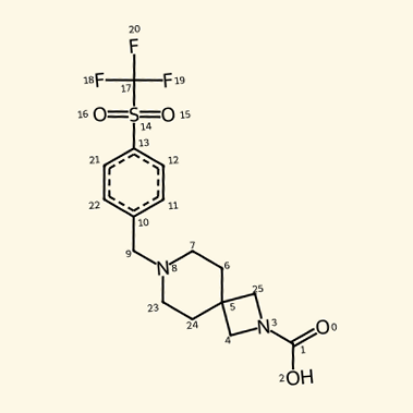 O=C(O)N1CC2(CCN(Cc3ccc(S(=O)(=O)C(F)(F)F)cc3)CC2)C1